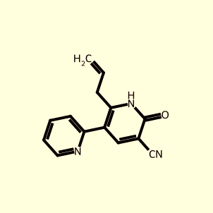 C=CCc1[nH]c(=O)c(C#N)cc1-c1ccccn1